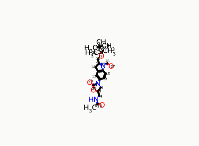 CC(=O)NCC1CN(c2ccc3c(c2)CC(CO[Si](C)(C)C(C)(C)C)N3C=O)C(=O)O1